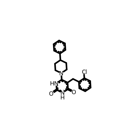 O=c1[nH]c(N2CCC(c3ccccc3)CC2)c(Cc2ccccc2Cl)c(=O)[nH]1